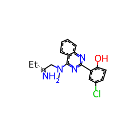 CC[C@@H](N)CN(C)c1nc(-c2cc(Cl)ccc2O)nc2ccccc12